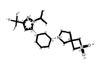 CC(C)n1nc(C(F)(F)F)cc1[C@H]1CCC[C@@H](N2CCC3(C2)CS(=O)(=O)C3)C1